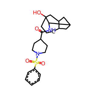 O=C(NC1C2CC3CCCC1(O)CC3C2)C1CCN(S(=O)(=O)c2ccccc2)CC1